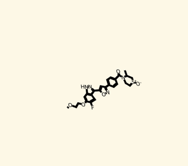 COCCOc1cc2[nH]nc(-c3cc(-c4ccc(C(=O)N5CC[S+]([O-])CC5C)cc4)no3)c2cc1F